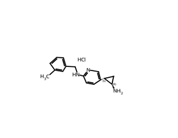 Cc1cccc(CNc2ccc([C@@H]3C[C@H]3N)cn2)c1.Cl